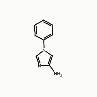 Nc1cn(-c2ccccc2)cn1